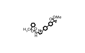 COC(=O)C1(c2ccc(-c3ccc(-n4ccc(NC(=O)O[C@H](C)c5ccccc5)n4)cc3)cc2)CC1